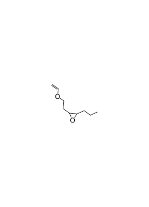 C=COCCC1OC1CCC